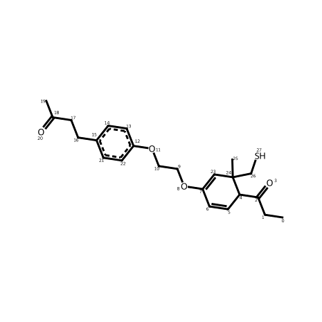 CCC(=O)C1C=CC(OCCOc2ccc(CCC(C)=O)cc2)=CC1(C)CS